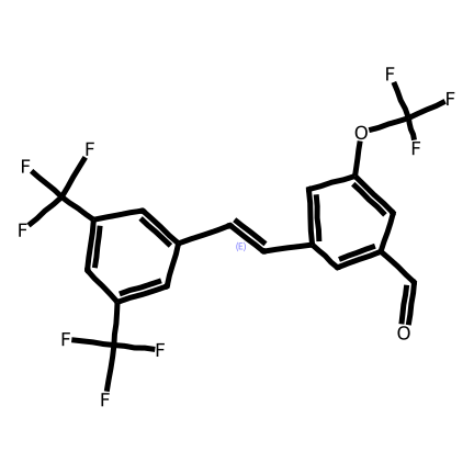 O=Cc1cc(/C=C/c2cc(C(F)(F)F)cc(C(F)(F)F)c2)cc(OC(F)(F)F)c1